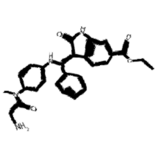 CCOC(=O)c1ccc2c(c1)NC(=O)/C2=C(\Nc1ccc(N(C)C(=O)CN)cc1)c1ccccc1